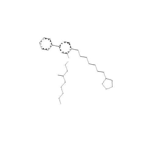 CCCCCC(F)CCOc1nc(-c2ccccc2)ncc1CCCCCCCC1CCCC1